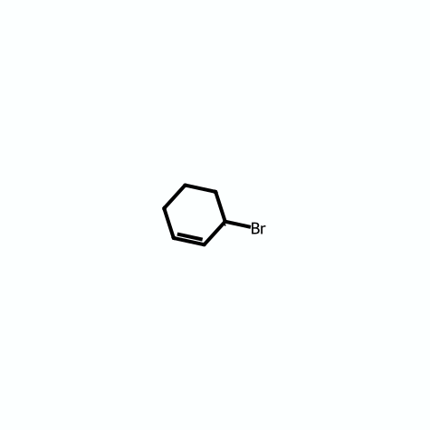 Br[C]1C=CCCC1